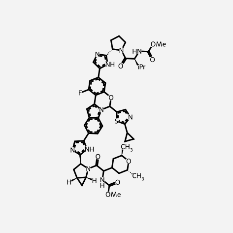 COC(=O)NC(C(=O)N1[C@@H]2C[C@@H]2C[C@H]1c1ncc(-c2ccc3c(c2)cc2n3C(c3cnc(C4CC4)s3)Oc3cc(-c4cnc([C@@H]5CCCN5C(=O)[C@@H](NC(=O)OC)C(C)C)[nH]4)cc(F)c3-2)[nH]1)C1C[C@@H](C)O[C@H](C)C1